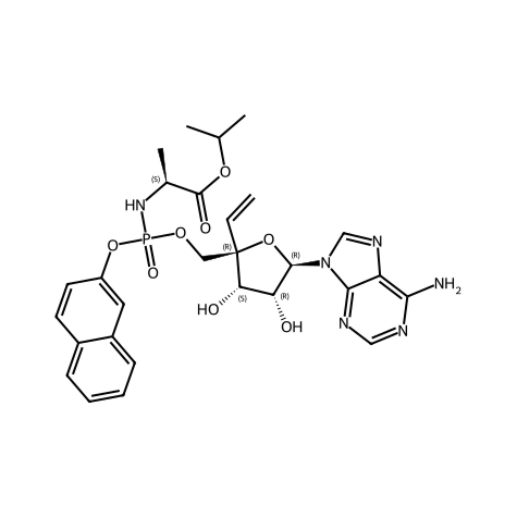 C=C[C@]1(COP(=O)(N[C@@H](C)C(=O)OC(C)C)Oc2ccc3ccccc3c2)O[C@@H](n2cnc3c(N)ncnc32)[C@H](O)[C@@H]1O